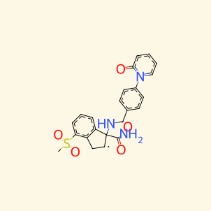 CS(=O)(=O)c1cccc2c1C[CH]C2(NC(=O)c1ccc(-n2ccccc2=O)cc1)C(N)=O